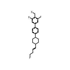 FCCC=CC1CCC(c2ccc(-c3cc(F)c(CF)c(F)c3)cc2)CC1